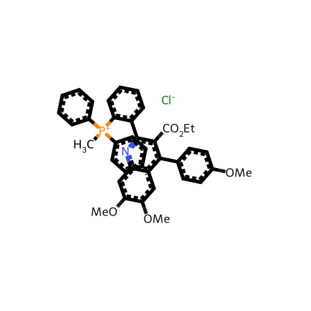 CCOC(=O)c1c(-c2ccccc2[P+](C)(c2ccccc2)c2ccccc2)nc2cc(OC)c(OC)cc2c1-c1ccc(OC)cc1.[Cl-]